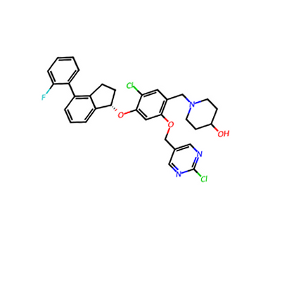 OC1CCN(Cc2cc(Cl)c(O[C@H]3CCc4c(-c5ccccc5F)cccc43)cc2OCc2cnc(Cl)nc2)CC1